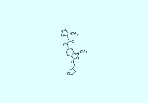 Cc1ccoc1C(=O)Nc1ccc2c(OCC3CCOC3)nn(C)c2c1